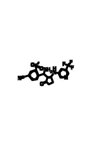 CS(=O)(=O)c1cc(C#N)ccc1C(N)C1=C(Nc2cncc(C(F)(F)F)c2)CCC1=O